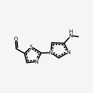 CNc1cn(-c2ncc(C=O)s2)cn1